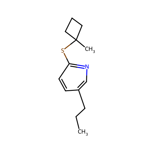 CCCc1ccc(SC2(C)CCC2)nc1